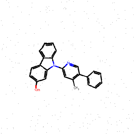 Cc1cc(-n2c3ccccc3c3ccc(O)cc32)ncc1-c1ccccc1